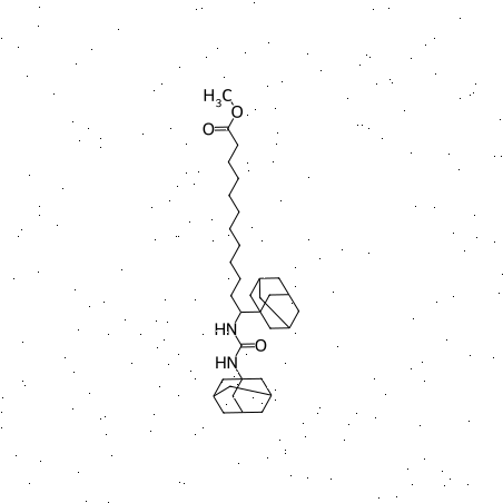 COC(=O)CCCCCCCCCCC(NC(=O)NC12CC3CC(CC(C3)C1)C2)C12CC3CC(CC(C3)C1)C2